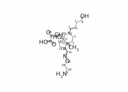 C[C@]12CC[C@H](C=CCCO)C[C@@]1(O)CC[C@@H]2C=NOCCN.O=C(O)C(=O)O